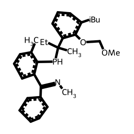 CCC(C)c1cccc(C(C)(CC)Pc2c(C)cccc2/C(=N/C)c2ccccc2)c1OCOC